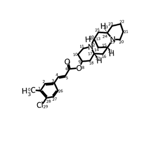 Cc1cc(/C=C/C(=O)OC2CCN3[C@@H]4C[C@@H](C[C@@H]3C2)N2CCCC[C@@H]2C4)ccc1Cl